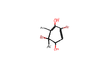 CC(=O)C1=C(O)C(Br)=CC(O)C1(Br)C(C)=O